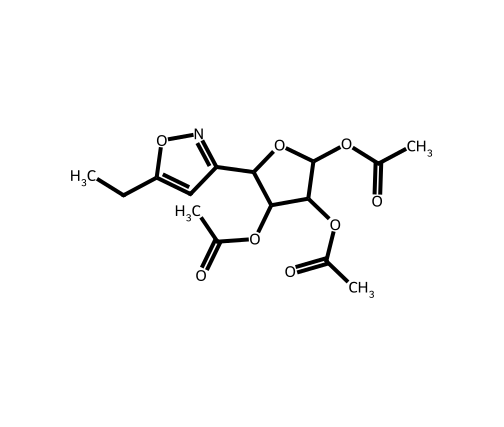 CCc1cc(C2OC(OC(C)=O)C(OC(C)=O)C2OC(C)=O)no1